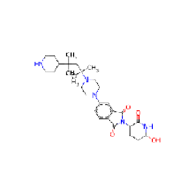 CC(C)(CC(C)(C)N1CCN(c2ccc3c(c2)C(=O)N(C2CCC(O)NC2=O)C3=O)CC1)C1CCNCC1